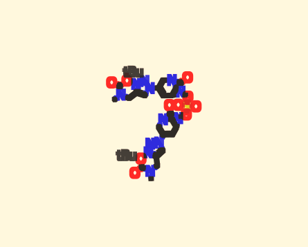 CN(Cc1cn(C2=CC3CN(C2)C(=O)N3OS(=O)(=O)ON2C(=O)N3CC(n4cc(CN(C)C(=O)OC(C)(C)C)nn4)=CC2C3)nn1)C(=O)OC(C)(C)C